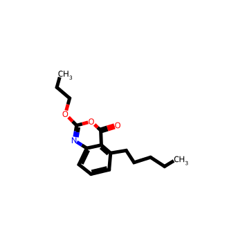 CCCCCc1cccc2nc(OCCC)oc(=O)c12